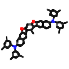 Cc1cc(C)cc(N(c2cc(C)cc(C)c2)c2ccc3cc4c(cc3c2)oc2cc3oc5cc6cc(N(c7cc(C)cc(C)c7)c7cc(C)cc(C)c7)ccc6cc5c3c(C)c24)c1